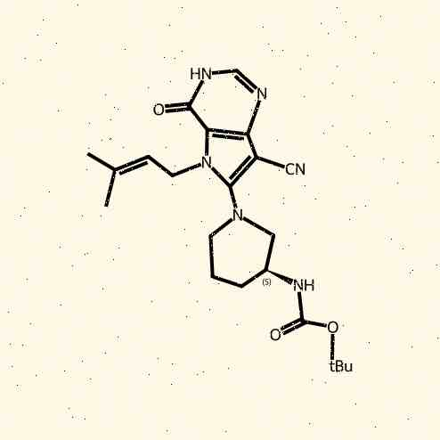 CC(C)=CCn1c(N2CCC[C@H](NC(=O)OC(C)(C)C)C2)c(C#N)c2nc[nH]c(=O)c21